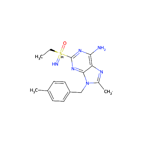 [CH2]c1nc2c(N)nc([S@](=N)(=O)CC)nc2n1Cc1ccc(C)cc1